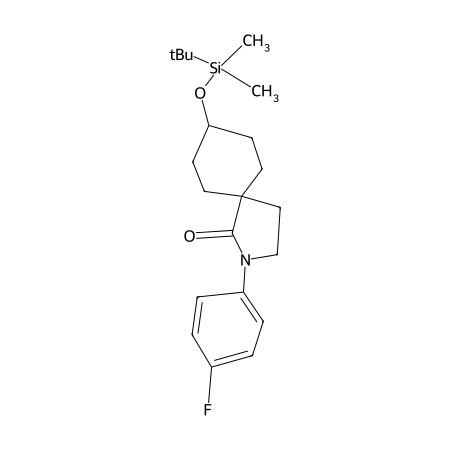 CC(C)(C)[Si](C)(C)OC1CCC2(CC1)CCN(c1ccc(F)cc1)C2=O